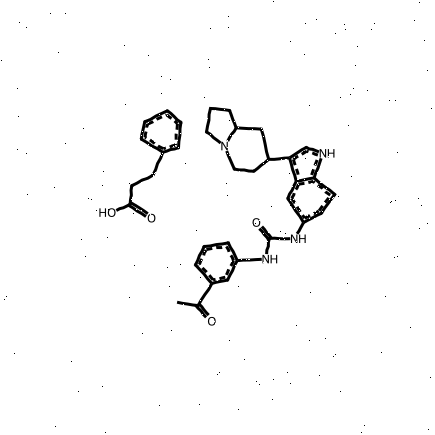 CC(=O)c1cccc(NC(=O)Nc2ccc3[nH]cc(C4CCN5CCCC5C4)c3c2)c1.O=C(O)CCc1ccccc1